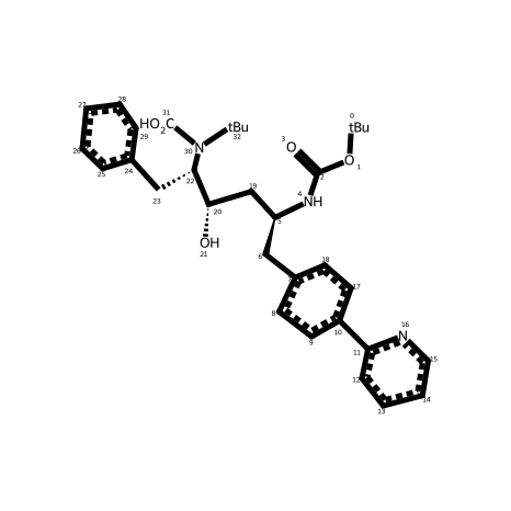 CC(C)(C)OC(=O)N[C@@H](Cc1ccc(-c2ccccn2)cc1)C[C@H](O)[C@H](Cc1ccccc1)N(C(=O)O)C(C)(C)C